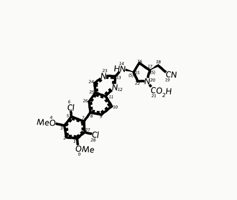 COc1cc(OC)c(Cl)c(-c2ccc3nc(N[C@H]4C[C@@H](CC#N)N(C(=O)O)C4)ncc3c2)c1Cl